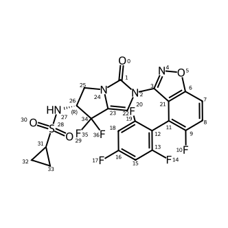 O=c1n(-c2noc3ccc(F)c(-c4c(F)cc(F)cc4F)c23)cc2n1C[C@@H](NS(=O)(=O)C1CC1)C2(F)F